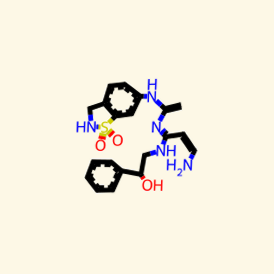 C=C(/N=C(\C=C/N)NCC(O)c1ccccc1)Nc1ccc2c(c1)S(=O)(=O)NC2